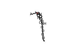 C#CCOCCOCCOCCOCCNC(=O)O[C@H]1CC[C@@]2(C)C(=CC[C@H]3[C@@H]4CC[C@H]([C@H](C)CCCC(C)C)[C@@]4(C)CC[C@@H]32)C1